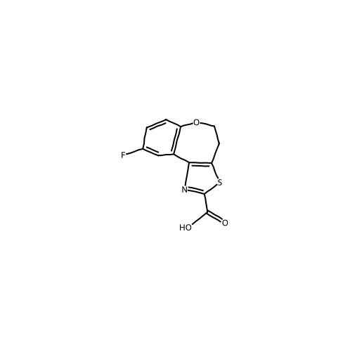 O=C(O)c1nc2c(s1)CCOc1ccc(F)cc1-2